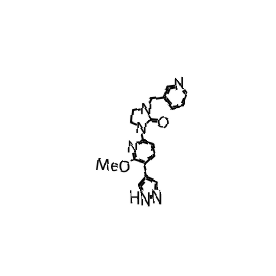 COc1nc(N2CCN(Cc3cccnc3)C2=O)ccc1-c1cn[nH]c1